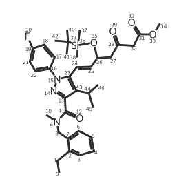 CCc1ccccc1CN(C)C(=O)c1nn(-c2ccc(F)cc2)c(C=CC(CC(=O)CC(=O)OC)O[Si](C)(C)C(C)(C)C)c1C(C)C